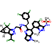 Cn1ccc2nc([C@H](Cc3cc(F)cc(F)c3)NC(=O)Cn3nc(C(F)F)c4c3C(F)(F)[C@@H]3C[C@H]43)c(-c3ccc(Cl)c4c(NS(C)(=O)=O)nn(C)c34)cc21